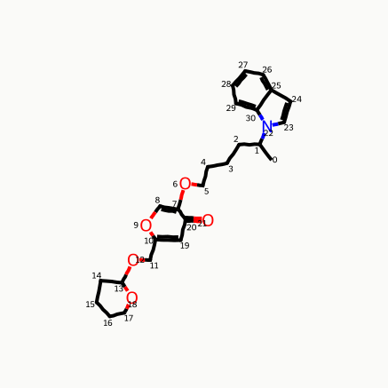 CC(CCCCOc1coc(COC2CCCCO2)cc1=O)n1ccc2ccccc21